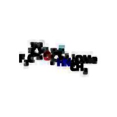 COC[C@H](C)NCc1ccc(OCc2cccc(C(F)(F)F)c2)cc1F